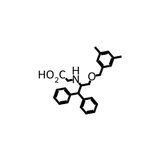 Cc1cc(C)cc(COCC(NCC(=O)O)C(c2ccccc2)c2ccccc2)c1